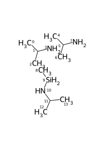 CC(C)N.CC(C)N.C[SiH2]NC(C)C